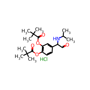 CC(C)NC(C=O)c1ccc(OC(=O)C(C)(C)C)c(OC(=O)C(C)(C)C)c1.Cl